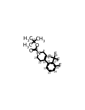 CC(C)(C)OC(=O)N1CC=C(c2cccc(F)c2C(F)(F)F)CC1